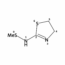 CSNC1=NCCS1